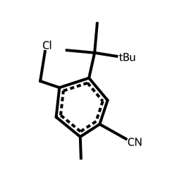 Cc1cc(CCl)c(C(C)(C)C(C)(C)C)cc1C#N